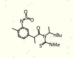 CCCCC(C)N(C(=O)C(C)c1ccc(C)c(N=S(=O)=O)c1)C(=S)NC